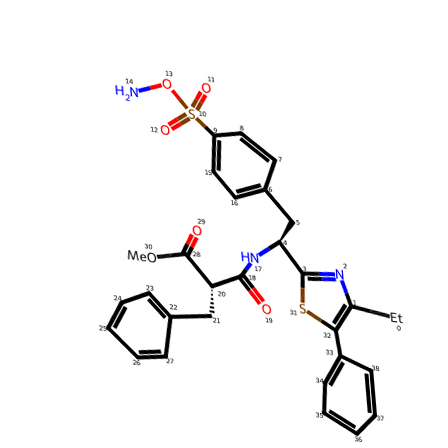 CCc1nc([C@H](Cc2ccc(S(=O)(=O)ON)cc2)NC(=O)[C@H](Cc2ccccc2)C(=O)OC)sc1-c1ccccc1